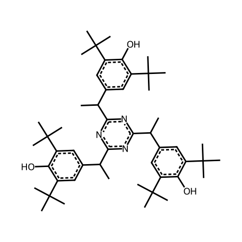 CC(c1cc(C(C)(C)C)c(O)c(C(C)(C)C)c1)c1nc(C(C)c2cc(C(C)(C)C)c(O)c(C(C)(C)C)c2)nc(C(C)c2cc(C(C)(C)C)c(O)c(C(C)(C)C)c2)n1